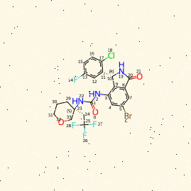 O=C(Nc1cc(Br)cc2c1[C@H](c1cc(F)ccc1Cl)NC2=O)N[C@]1(CC(F)(F)F)CCCOC1